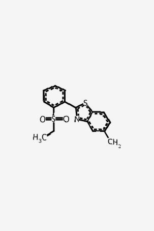 CCS(=O)(=O)c1ccccc1-c1nc2cc(C)ccc2s1